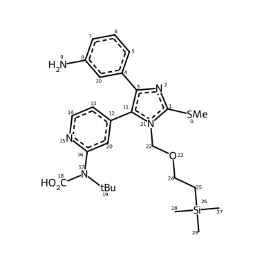 CSc1nc(-c2cccc(N)c2)c(-c2ccnc(N(C(=O)O)C(C)(C)C)c2)n1COCC[Si](C)(C)C